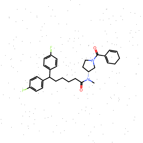 CN(C(=O)CCCCC(c1ccc(F)cc1)c1ccc(F)cc1)[C@@H]1CCN(C(=O)C2=CCCC=C2)C1